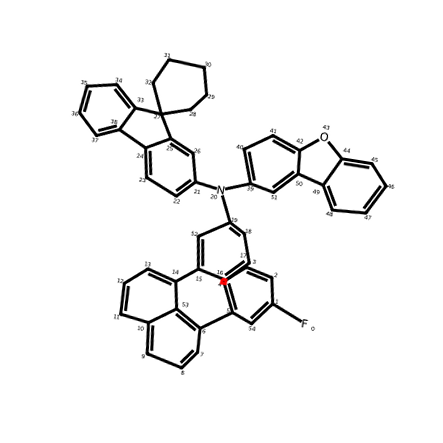 Fc1cccc(-c2cccc3cccc(-c4cccc(N(c5ccc6c(c5)C5(CCCCC5)c5ccccc5-6)c5ccc6oc7ccccc7c6c5)c4)c23)c1